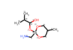 CC1CO[Si](CN)(OC(O)C(C)C)OC1